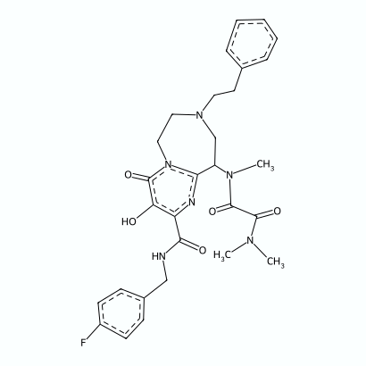 CN(C)C(=O)C(=O)N(C)C1CN(CCc2ccccc2)CCn2c1nc(C(=O)NCc1ccc(F)cc1)c(O)c2=O